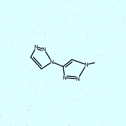 Cn1[c]c(-n2ccnn2)nn1